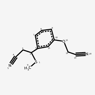 CSC(CC#N)c1cccc(OCC#N)c1